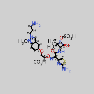 C[n+]1c2ccc(OC[C@H](O/N=C(\C(=O)N[C@@H]3C(=O)N(OS(=O)(=O)O)C3(C)C)c3csc(N)n3)C(=O)O)cc2cn1CCCN